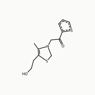 CC1=C(CCO)SCN1CC(=O)c1cccs1